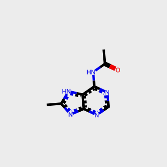 CC(=O)Nc1ncnc2nc(C)[nH]c12